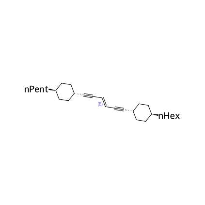 CCCCCC[C@H]1CC[C@H](C#C/C=C/C#C[C@H]2CC[C@H](CCCCC)CC2)CC1